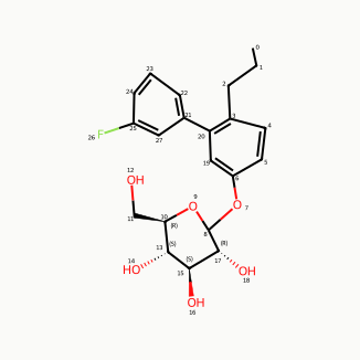 CCCc1ccc(OC2O[C@H](CO)[C@@H](O)[C@H](O)[C@H]2O)cc1-c1cccc(F)c1